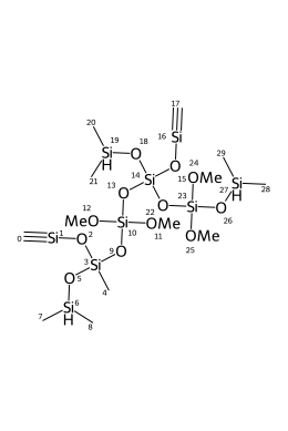 C#[Si]O[Si](C)(O[SiH](C)C)O[Si](OC)(OC)O[Si](O[Si]#C)(O[SiH](C)C)O[Si](OC)(OC)O[SiH](C)C